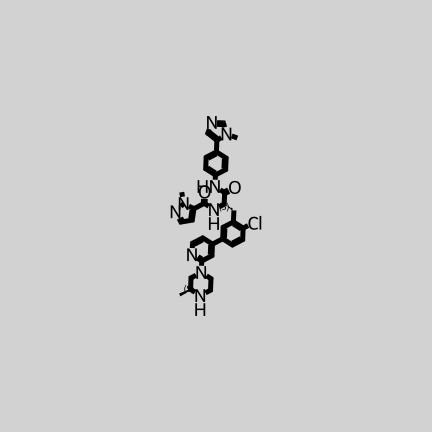 C[C@H]1CN(c2cc(-c3ccc(Cl)c(C[C@H](NC(=O)c4ccnn4C)C(=O)Nc4ccc(-c5cncn5C)cc4)c3)ccn2)CCN1